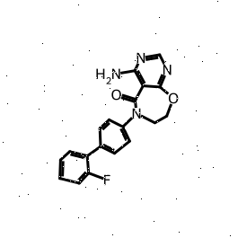 Nc1ncnc2c1C(=O)N(c1ccc(-c3ccccc3F)cc1)CCO2